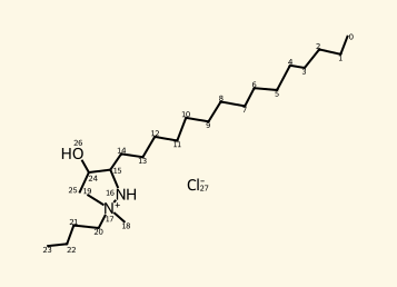 CCCCCCCCCCCCCCCC(N[N+](C)(C)CCCC)C(C)O.[Cl-]